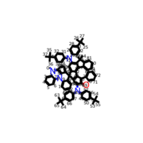 CN1c2ccccc2N2c3ccccc3C3(c4cc(N(c5ccc(C(C)(C)C)cc5)c5ccc(C(C)(C)C)cc5)c5c(c4-c4c3cc(N(c3ccc(C(C)(C)C)cc3)c3ccc(C(C)(C)C)cc3)c3oc6ccccc6c43)-c3ccccc3C5(C)C)c3cccc1c32